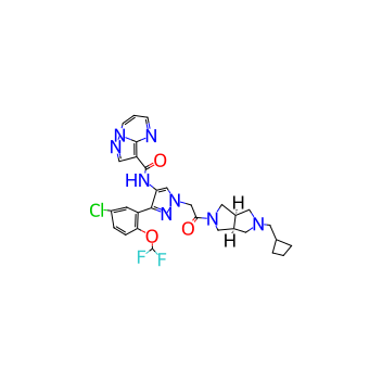 O=C(Nc1cn(CC(=O)N2C[C@H]3CN(CC4CCC4)C[C@H]3C2)nc1-c1cc(Cl)ccc1OC(F)F)c1cnn2cccnc12